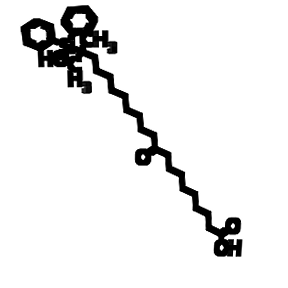 CC(C)(CCCCCCCCCC(=O)CCCCCCCCC(=O)O)[Si](O)(c1ccccc1)c1ccccc1